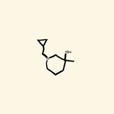 CC(C)(C)C1(C)CCCN(CC2CC2)C1